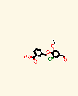 CCOc1cc(C=O)cc(Cl)c1OCc1cccc(C(=O)O)c1